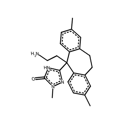 Cc1ccc2c(c1)CCc1cc(C)ccc1C2(CCN)c1nn(C)c(=O)[nH]1